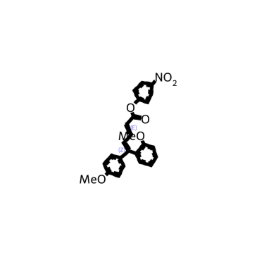 COc1ccc(/C(=C/C=C/C(=O)Oc2ccc([N+](=O)[O-])cc2)c2ccccc2OC)cc1